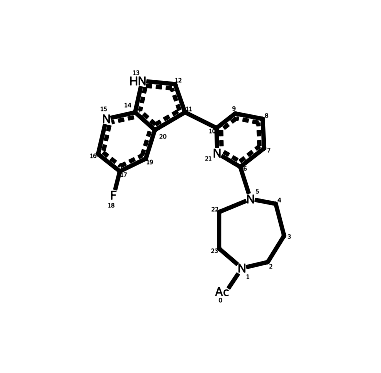 CC(=O)N1CCCN(c2cccc(-c3c[nH]c4ncc(F)cc34)n2)CC1